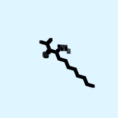 CCCCCCCCC(N)C(=O)C(C)C